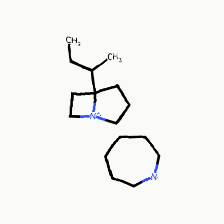 C1CCC[N]CC1.CCC(C)C12CCC[N+]1CC2